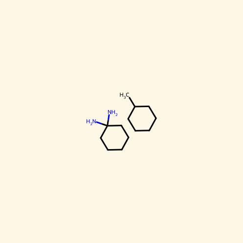 CC1CCCCC1.NC1(N)CCCCC1